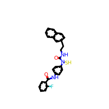 O=C(Nc1ccc(N(S)C(=O)NCCc2ccc3ccccc3c2)cc1)c1ccccc1F